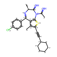 CC(=N)N1C(=N)[C@H](C)N=C(c2ccc(Cl)cc2)c2c1sc(C#CC1CCCCC1)c2C